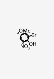 COC.O=[N+]([O-])c1cccc(Br)c1O